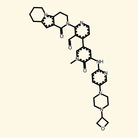 Cn1cc(-c2ccnc(N3CCc4c(cc5n4CCCC5)C3=O)c2C=O)cc(Nc2ccc(N3CCN(C4COC4)CC3)cn2)c1=O